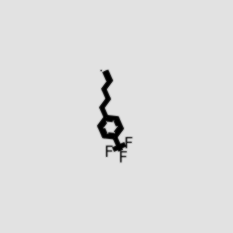 [CH]=CCCCc1ccc(C(F)(F)F)cc1